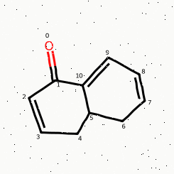 O=C1C=CCC2CC=CC=C12